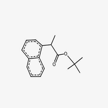 CC(C(=O)OC(C)(C)C)c1cccc2ccccc12